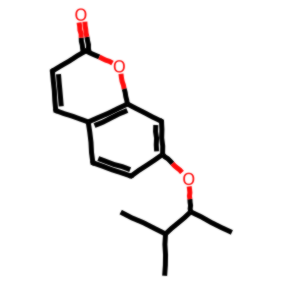 CC(C)C(C)Oc1ccc2ccc(=O)oc2c1